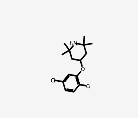 CC1(C)CC(Oc2cc(Cl)ccc2Cl)CC(C)(C)N1